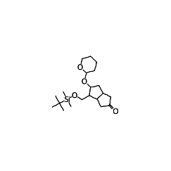 CC(C)(C)[Si](C)(C)OCC1C(OC2CCCCO2)CC2CC(=O)CC21